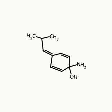 CC(C)C=C1C=CC(N)(O)C=C1